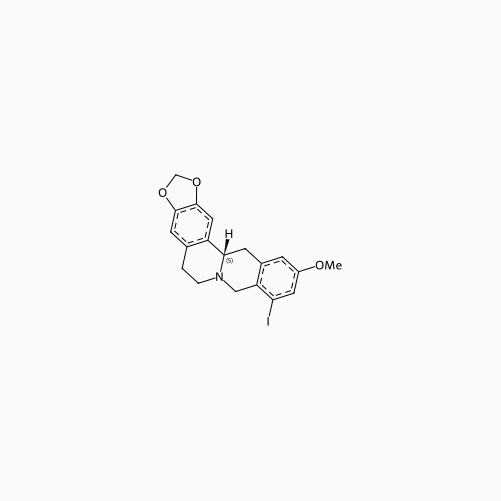 COc1cc(I)c2c(c1)C[C@H]1c3cc4c(cc3CCN1C2)OCO4